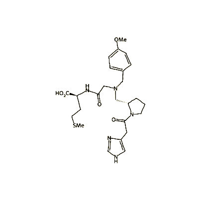 COc1ccc(CN(CC(=O)N[C@@H](CCSC)C(=O)O)C[C@@H]2CCCN2C(=O)Cc2c[nH]cn2)cc1